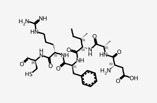 CC[C@H](C)[C@H](NC(=O)[C@H](C)NC(=O)[C@@H](N)CC(=O)O)C(=O)N[C@@H](Cc1ccccc1)C(=O)N[C@@H](CCCNC(=N)N)C(=O)N[C@H]([C]=O)CS